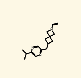 C=CN1CC2(CC(Cc3cnc(C(C)F)cn3)C2)C1